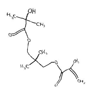 C=C(C)C(=O)OCC(C)(C)COC(=O)C(C)(C)O